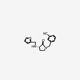 N#Cc1cccc(CN2CC[C@H](NCc3cccs3)C2=O)c1